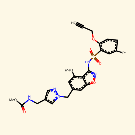 C#CCOc1ccc(CC)cc1S(=O)(=O)Nc1noc2cc(Cn3cc(CNC(=O)OC)cn3)cc(OC)c12